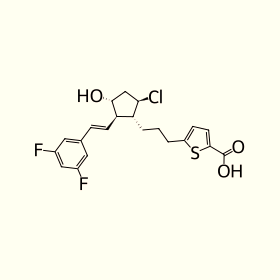 O=C(O)c1ccc(CCC[C@@H]2[C@@H](C=Cc3cc(F)cc(F)c3)[C@H](O)C[C@H]2Cl)s1